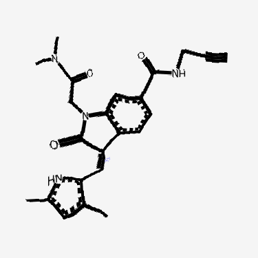 C#CCNC(=O)c1ccc2c(c1)N(CC(=O)N(C)C)C(=O)/C2=C\c1[nH]c(C)cc1C